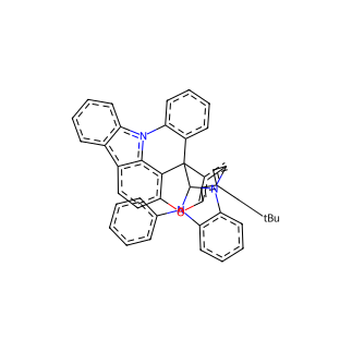 CC(C)(C)c1cc2c3c(c1)N1c4ccccc4N(c4ccccc4)C1C31c3ccccc3-n3c4ccccc4c4ccc(c1c43)O2